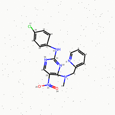 CN(Cc1ccccn1)c1nc(Nc2ccc(Cl)cc2)ncc1[N+](=O)[O-]